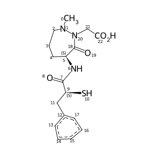 CN1CCC[C@H](NC(=O)[C@@H](S)Cc2ccccc2)C(=O)N1CC(=O)O